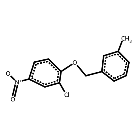 Cc1cccc(COc2ccc([N+](=O)[O-])cc2Cl)c1